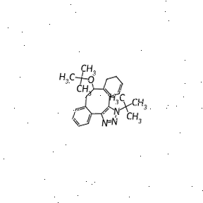 CC(C)(C)OC1Cc2ccccc2-c2nnn(C(C)(C)C)c2C2=C1CCC=C2